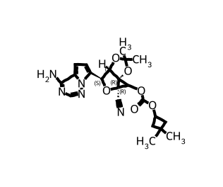 CC1(C)CC(OC(=O)OC2[C@@]3(C#N)O[C@@H](c4ccc5c(N)ncnn45)[C@@H]4OC(C)(C)O[C@@]243)C1